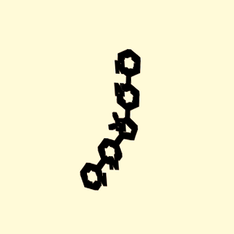 C[Si]1(C)C(c2ccc(-c3ccccn3)nc2)=CC=C1c1ccc(-c2ccccn2)nc1